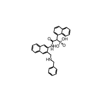 O=C(Nc1cc2ccccc2cc1CNCc1ccccc1)C(c1cccc2ccccc12)P(=O)(O)O